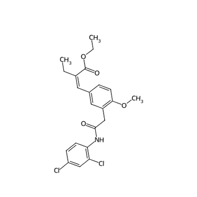 CCOC(=O)C(=Cc1ccc(OC)c(CC(=O)Nc2ccc(Cl)cc2Cl)c1)CC